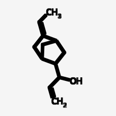 C=CC(O)C1CC2CC1CC2=CC